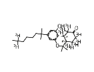 [2H]C([2H])(C)CCCCC(C)(C)c1cc(O)c2c(c1)OC(C)(C)[C@]1([2H])C([2H])([2H])C([2H])([2H])C(=O)C([2H])([2H])[C@@]21[2H]